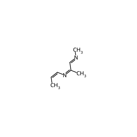 C\C=C/N=C(C)\C=N\C